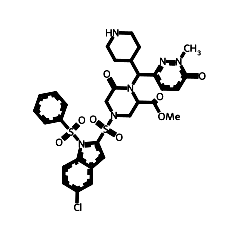 COC(=O)C1CN(S(=O)(=O)c2cc3cc(Cl)ccc3n2S(=O)(=O)c2ccccc2)CC(=O)N1C(c1ccc(=O)n(C)n1)C1CCNCC1